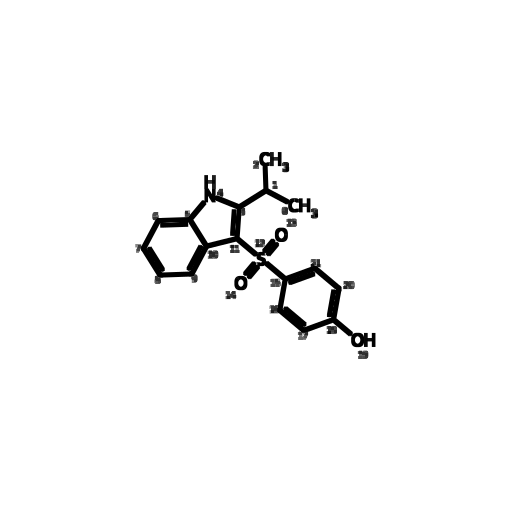 CC(C)c1[nH]c2ccccc2c1S(=O)(=O)c1ccc(O)cc1